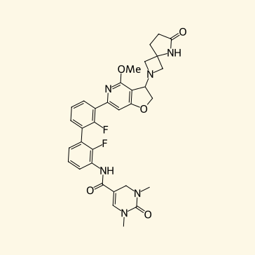 COc1nc(-c2cccc(-c3cccc(NC(=O)C4=CN(C)C(=O)N(C)C4)c3F)c2F)cc2c1C(N1CC3(CCC(=O)N3)C1)CO2